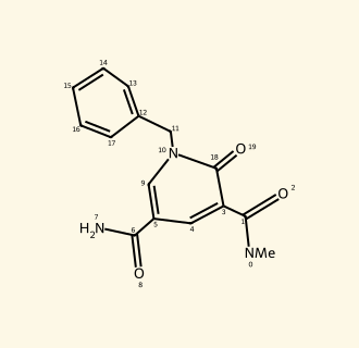 CNC(=O)c1cc(C(N)=O)cn(Cc2ccccc2)c1=O